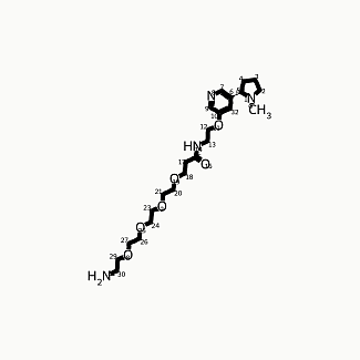 CN1CCC[C@H]1c1cncc(OCCNC(=O)CCOCCOCCOCCOCCN)c1